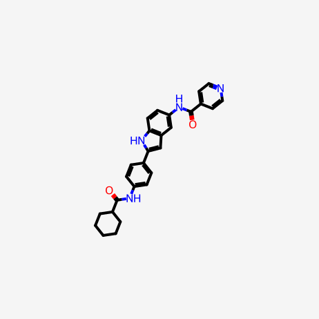 O=C(Nc1ccc2[nH]c(-c3ccc(NC(=O)C4CCCCC4)cc3)cc2c1)c1ccncc1